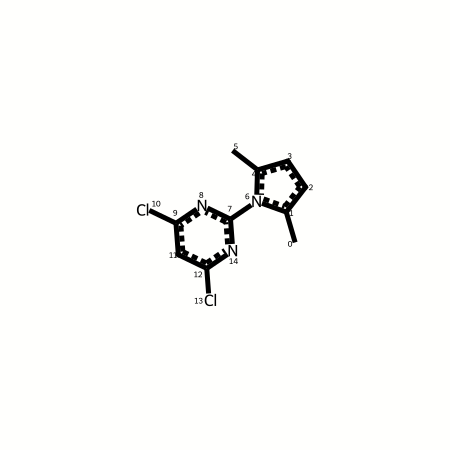 Cc1ccc(C)n1-c1nc(Cl)cc(Cl)n1